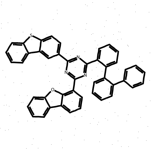 c1ccc(-c2ccccc2-c2ccccc2-c2nc(-c3ccc4sc5ccccc5c4c3)nc(-c3cccc4c3oc3ccccc34)n2)cc1